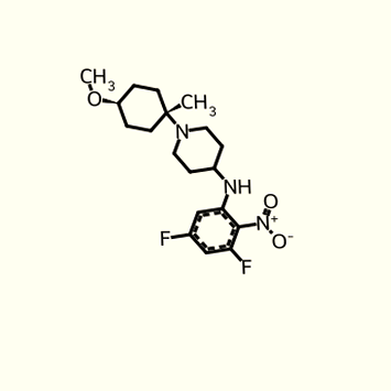 CO[C@H]1CC[C@](C)(N2CCC(Nc3cc(F)cc(F)c3[N+](=O)[O-])CC2)CC1